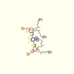 CC(C)CCCC(C)CCC1(CCC(C)CCCC(C)C)OC2=C(SC(Br)C2)c2sc(-c3c(F)c(F)c(-c4cc5c(s4)-c4sc(Br)cc4OC5(CCC(C)CCCC(C)C)CCC(C)CCCC(C)C)c4nsnc34)cc21